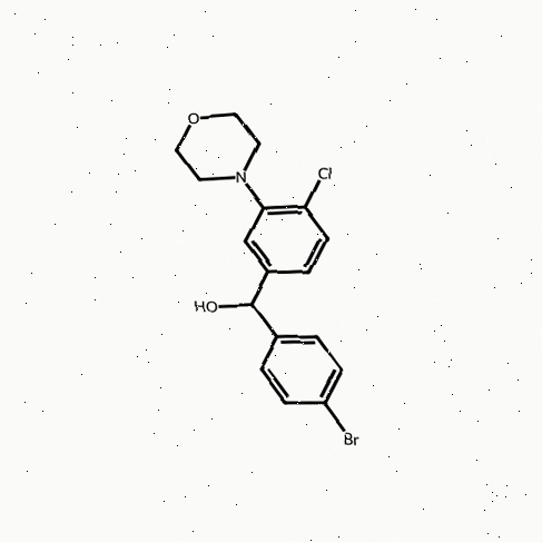 OC(c1ccc(Br)cc1)c1ccc(Cl)c(N2CCOCC2)c1